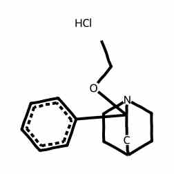 CCOC1(c2ccccc2)CC2CCN1CC2.Cl